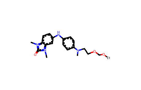 CCOCOCCN(C)c1ccc(Nc2ccc3c(c2)n(C)c(=O)n3C)cc1